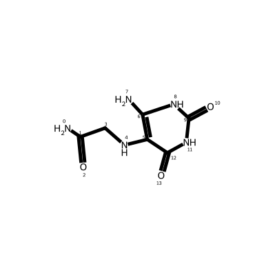 NC(=O)CNc1c(N)[nH]c(=O)[nH]c1=O